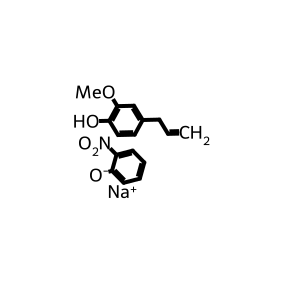 C=CCc1ccc(O)c(OC)c1.O=[N+]([O-])c1ccccc1[O-].[Na+]